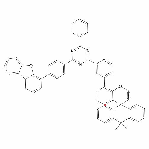 CC1(C)c2ccccc2C2(c3ccccc3Oc3c(-c4cccc(-c5nc(-c6ccccc6)nc(-c6ccc(-c7cccc8c7oc7ccccc78)cc6)n5)c4)cccc32)c2ccccc21